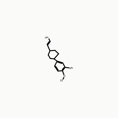 CCC/C=C/C1CCC(c2ccc(OCC)c(CCC)c2)CC1